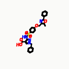 Cc1oc(-c2ccccc2)nc1COc1ccc(S(=O)(=O)Nc2nn(Cc3ccccc3)cc2C(=O)O)cc1